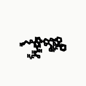 CC(=O)PNc1nc(OCCC#N)c2ncn([C@H]3C[C@@H](O[P@]4O[C@@](C)(c5ccccc5)[C@H]5CCCN54)[C@@H](CO)O3)c2n1